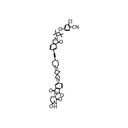 CC1(C)[C@H](Oc2ccc(C#N)c(Cl)c2)C(C)(C)[C@H]1N1Cc2ccc(C#CC3CCN(C4CC5(C4)CN(c4ccc6c(c4)C(=O)N(C4CCC(=O)NC4=O)C6=O)C5)CC3)cc2C1=O